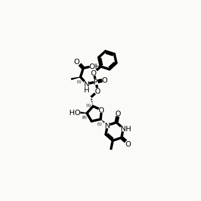 Cc1cn([C@@H]2C[C@@H](O)[C@H](COP(=O)(N[C@@H](C)C(=O)O)Oc3ccccc3)O2)c(=O)[nH]c1=O